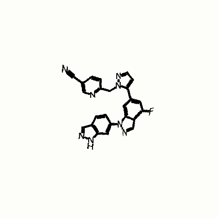 N#Cc1ccc(Cn2nccc2-c2cc(F)c3cnn(-c4ccc5cn[nH]c5c4)c3c2)nc1